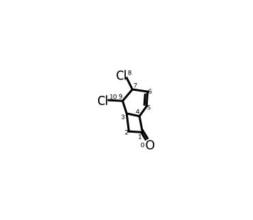 O=C1CC2C1C=CC(Cl)C2Cl